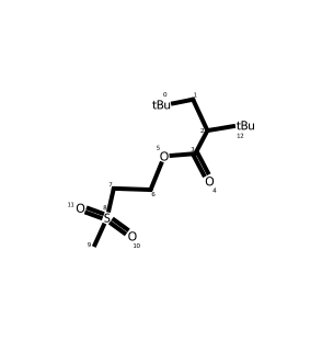 CC(C)(C)CC(C(=O)OCCS(C)(=O)=O)C(C)(C)C